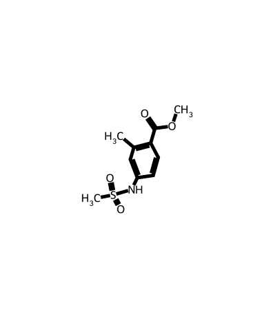 COC(=O)c1ccc(NS(C)(=O)=O)cc1C